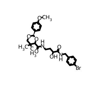 COc1ccc([C@@H]2OCC(C)(C)C(C(=O)NCCC(O)C(=O)NCc3ccc(Br)cc3)O2)cc1